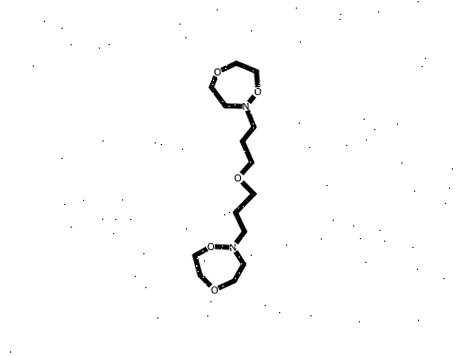 C(COCCCN1CCOCCO1)CN1CCOCCO1